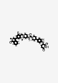 COc1cc(-c2cn(C)c(=O)c3ccccc23)cc(F)c1CN1CCC(N(C)C(=O)N2CCC(c3ccc(NC4CCC(=O)NC4=O)cc3)CC2)CC1